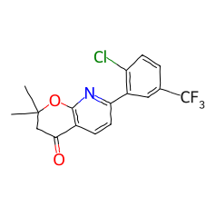 CC1(C)CC(=O)c2ccc(-c3cc(C(F)(F)F)ccc3Cl)nc2O1